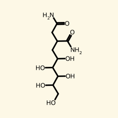 NC(=O)CC(CC(O)C(O)C(O)C(O)CO)C(N)=O